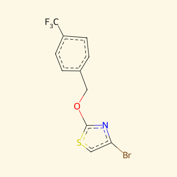 FC(F)(F)c1ccc(COc2nc(Br)cs2)cc1